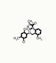 Cc1cc(C)c(OCc2c(C)cccc2-n2nnn(C)c2=O)cc1Cl